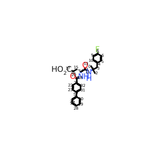 CC(C)(Cc1ccc(F)cc1)NC(=O)[C@@H](CCC(=O)O)NC(=O)c1ccc(-c2ccccc2)cc1